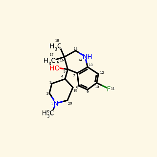 CN1CCC(C2(O)c3ccc(F)cc3NCC2(C)C)CC1